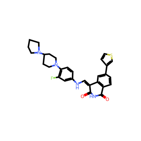 O=C1NC(=O)c2ccc(-c3ccsc3)cc2/C1=C/Nc1ccc(N2CCC(N3CCCC3)CC2)c(F)c1